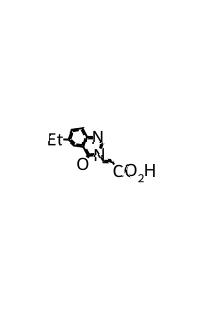 CCc1ccc2ncn(C=CC(=O)O)c(=O)c2c1